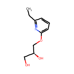 CCc1cccc(OC[C@@H](O)CO)n1